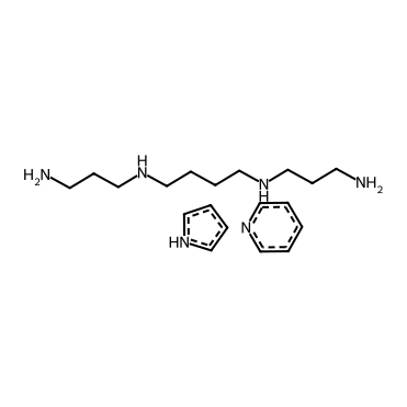 NCCCNCCCCNCCCN.c1cc[nH]c1.c1ccncc1